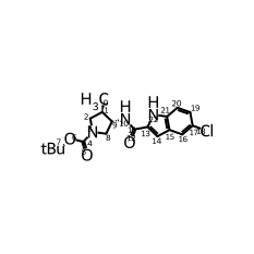 C[C@@H]1CN(C(=O)OC(C)(C)C)C[C@H]1NC(=O)c1cc2cc(Cl)ccc2[nH]1